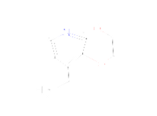 CCc1ccnc2c1OCCO2